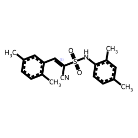 Cc1ccc(NS(=O)(=O)/C(C#N)=C/c2cc(C)ccc2C)c(C)c1